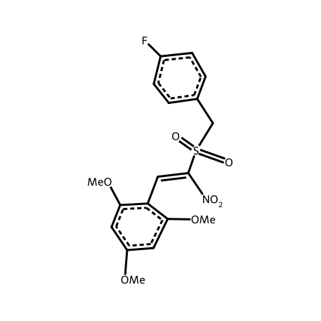 COc1cc(OC)c(/C=C(\[N+](=O)[O-])S(=O)(=O)Cc2ccc(F)cc2)c(OC)c1